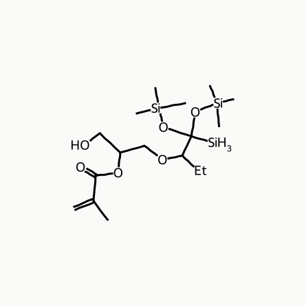 C=C(C)C(=O)OC(CO)COC(CC)C([SiH3])(O[Si](C)(C)C)O[Si](C)(C)C